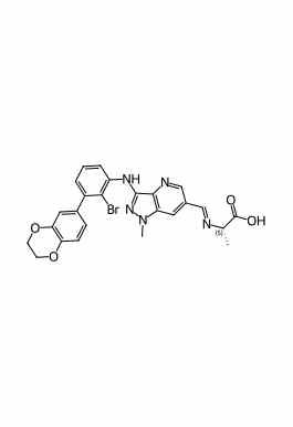 C[C@H](N=Cc1cnc2c(Nc3cccc(-c4ccc5c(c4)OCCO5)c3Br)nn(C)c2c1)C(=O)O